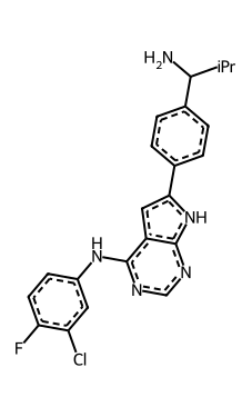 CC(C)C(N)c1ccc(-c2cc3c(Nc4ccc(F)c(Cl)c4)ncnc3[nH]2)cc1